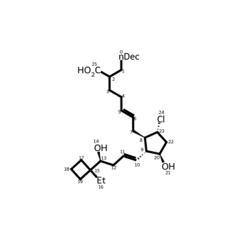 CCCCCCCCCCCC(CCC=CC[C@@H]1[C@@H](C=CC[C@H](O)C2(CC)CCC2)[C@H](O)C[C@H]1Cl)C(=O)O